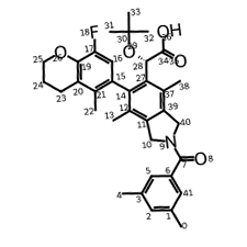 Cc1cc(C)cc(C(=O)N2Cc3c(C)c(-c4cc(F)c5c(c4C)CCCO5)c([C@H](OC(C)(C)C)C(=O)O)c(C)c3C2)c1